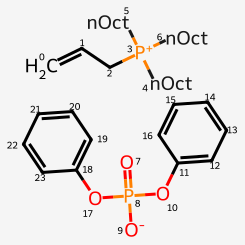 C=CC[P+](CCCCCCCC)(CCCCCCCC)CCCCCCCC.O=P([O-])(Oc1ccccc1)Oc1ccccc1